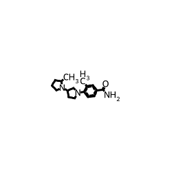 Cc1cc(C(N)=O)ccc1N1CCC(N2CCCC2C)C1